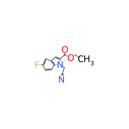 CCOC(=O)c1cc2cc(F)ccc2n1CC#N